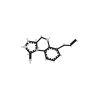 C=CCc1cccc2c1OCc1noc(=O)n1-2